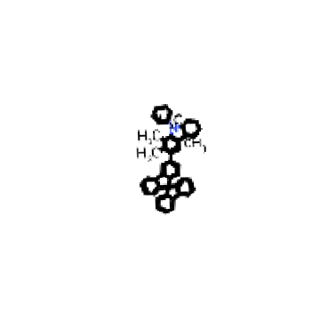 Cc1c(-c2ccc3c(c2)-c2ccccc2C32c3ccccc3-c3ccccc32)cc2c(c1C)N(c1ccccc1)C1(C)CCCCC21C